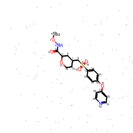 CC(C)(C)ONC(=O)C1CC(CS(=O)(=O)c2ccc(Oc3ccncc3)cc2)CCO1